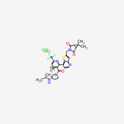 Cc1cc(C(F)(F)F)nc(-c2ccnc3cc(CN4C(=O)C5C(C4=O)C5(C)C)sc23)c1C(=O)N1CC[C@H](NC(C)C)C1.Cl.Cl